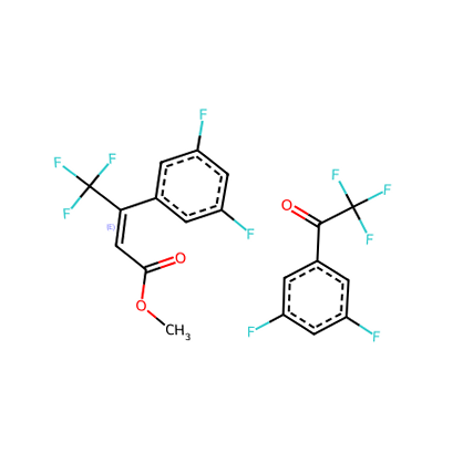 COC(=O)/C=C(\c1cc(F)cc(F)c1)C(F)(F)F.O=C(c1cc(F)cc(F)c1)C(F)(F)F